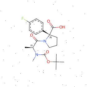 C[C@@H](C(=O)N1CCC[C@]1(C(=O)O)c1ccc(F)cc1)N(C)C(=O)OC(C)(C)C